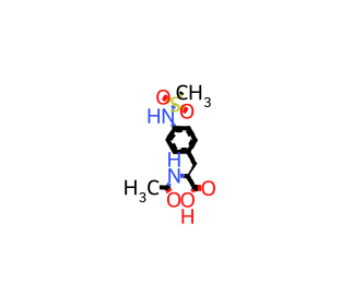 CC(=O)N[C@@H](Cc1ccc(NS(C)(=O)=O)cc1)C(=O)O